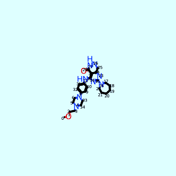 COCCN1CCN(c2ccc(Nc3nc(N4CCCCCC4)nc4cn[nH]c(=O)c34)cc2)CC1